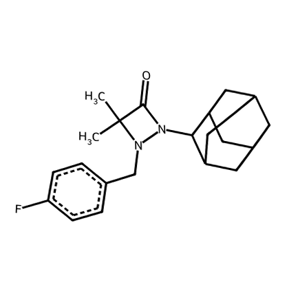 CC1(C)C(=O)N(C2C3CC4CC(C3)CC2C4)N1Cc1ccc(F)cc1